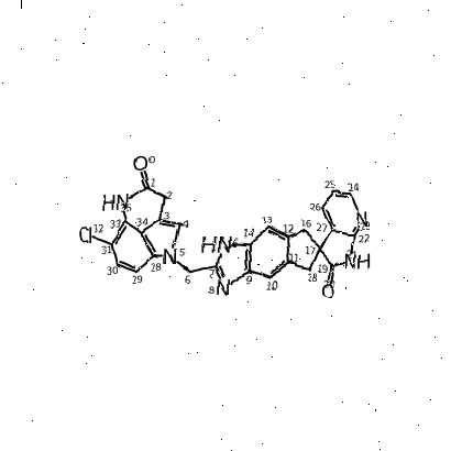 O=C1Cc2cn(Cc3nc4cc5c(cc4[nH]3)CC3(C5)C(=O)Nc4ncccc43)c3ccc(Cl)c(c23)N1